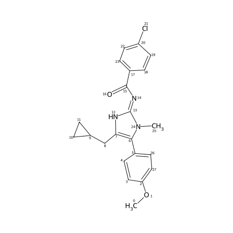 COc1ccc(-c2c(CC3CC3)[nH]/c(=N\C(=O)c3ccc(Cl)cc3)n2C)cc1